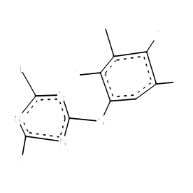 Cc1c(F)c(F)cc(Nc2nc(Cl)nc(Cl)n2)c1F